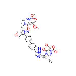 COC(=O)N[C@H](C(=O)N1CC2(CC2)C[C@H]1c1ncc(-c2ccc(-c3ccc(-c4[nH]c([C@@H]5CCCN5C(=O)[C@@H](NC(=O)OC)[C@@H](C)OC)c5c4COC5)cc3)cc2)[nH]1)[C@@H](C)OC